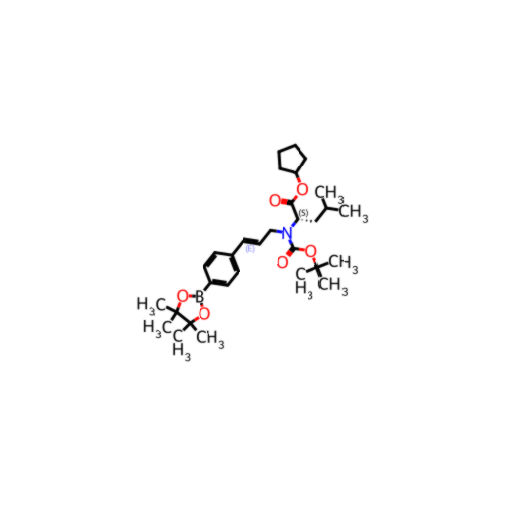 CC(C)C[C@@H](C(=O)OC1CCCC1)N(C/C=C/c1ccc(B2OC(C)(C)C(C)(C)O2)cc1)C(=O)OC(C)(C)C